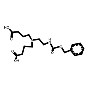 O=C(O)CCCN(CCCC(=O)O)CCNC(=O)OCc1ccccc1